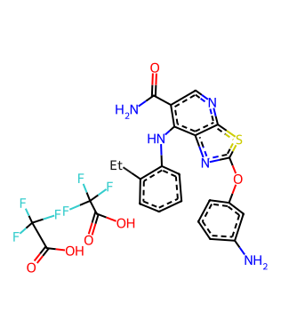 CCc1ccccc1Nc1c(C(N)=O)cnc2sc(Oc3cccc(N)c3)nc12.O=C(O)C(F)(F)F.O=C(O)C(F)(F)F